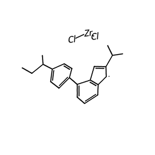 CCC(C)c1ccc(-c2cccc3c2C=C(C(C)C)[CH]3)cc1.[Cl][Zr][Cl]